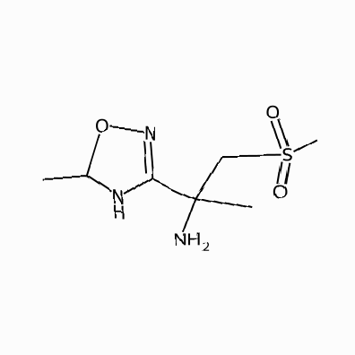 CC1NC(C(C)(N)CS(C)(=O)=O)=NO1